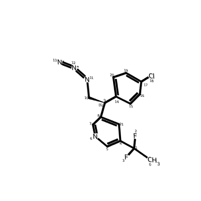 CC(F)(F)c1cncc([C@@H](CN=[N+]=[N-])c2ccc(Cl)cc2)c1